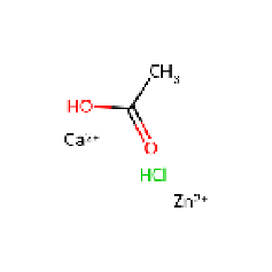 CC(=O)O.Cl.[Ca+2].[Zn+2]